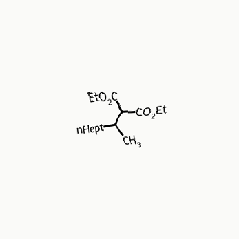 CCCCCCCC(C)C(C(=O)OCC)C(=O)OCC